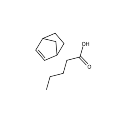 C1=CC2CCC1C2.CCCCC(=O)O